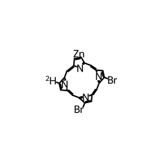 [2H]C1=CC2=CC3=NC(=CC4=NC(=CC5=NC(=CC1=N2)C=C5)C=C4Br)C=C3Br.[Zn]